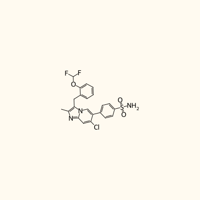 Cc1nc2cc(Cl)c(-c3ccc(S(N)(=O)=O)cc3)cn2c1Cc1ccccc1OC(F)F